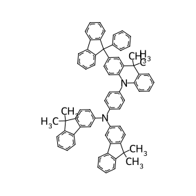 CC1(C)c2ccccc2-c2cc(N(c3ccc(N4c5ccccc5C(C)(C)c5cc(C6(c7ccccc7)c7ccccc7-c7ccccc76)ccc54)cc3)c3ccc4c(c3)-c3ccccc3C4(C)C)ccc21